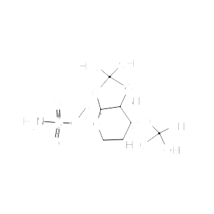 CC(C)(O)O[C@@H]1CCO[C@@]2(COS(N)(=O)=O)OC(C)(C)O[C@@H]12